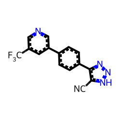 N#Cc1[nH]nnc1-c1ccc(-c2cncc(C(F)(F)F)c2)cc1